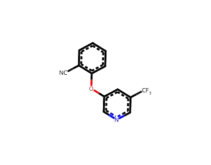 N#Cc1ccccc1Oc1cncc(C(F)(F)F)c1